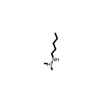 CCCCC[NH][Hf]([CH3])[CH3]